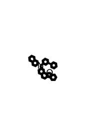 c1ccc(-c2cccc(N(c3ccc4ccccc4c3)c3ccc4ccc5c6ccccc6oc5c4c3)c2)cc1